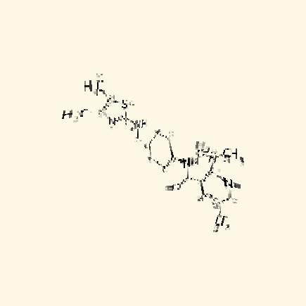 Cc1nc(NC[C@H]2CC[C@H](NC(=O)c3cc(C(F)(F)F)cnc3N(C)C)CC2)sc1C